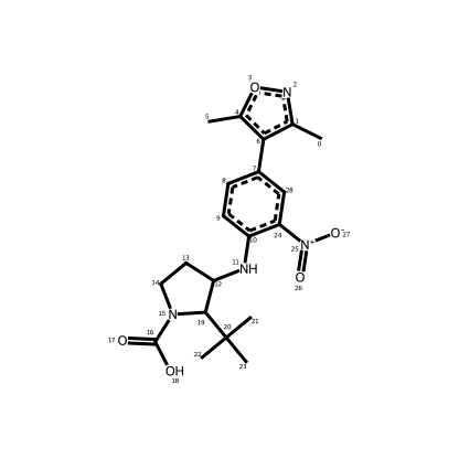 Cc1noc(C)c1-c1ccc(NC2CCN(C(=O)O)C2C(C)(C)C)c([N+](=O)[O-])c1